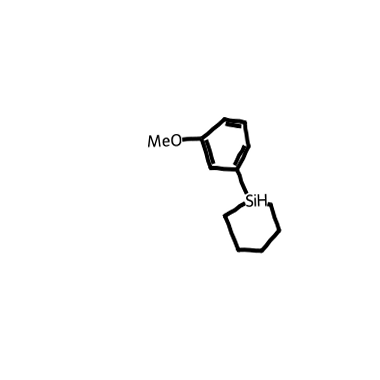 COc1cccc([SiH]2CCCCC2)c1